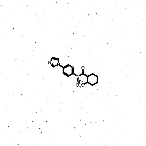 CCCN(C(=O)C1CCCCC1C(=O)O)c1ccc(-n2ccnc2)cc1